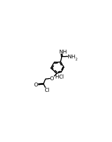 Cl.N=C(N)c1ccc(OCC(=O)Cl)cc1